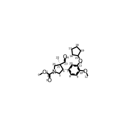 COC(=O)N1C[C@@H](c2ccc(OC)c(OC3CCCC3)c2)[C@](C)(C=O)C1